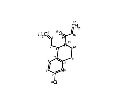 C=CCC1c2ccc(Cl)nc2CCN1C(=O)C=C